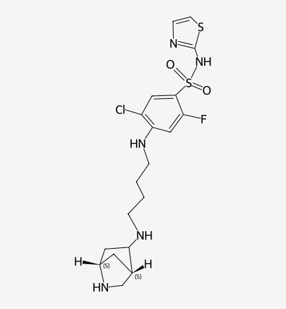 O=S(=O)(Nc1nccs1)c1cc(Cl)c(NCCCCNC2C[C@@H]3C[C@H]2CN3)cc1F